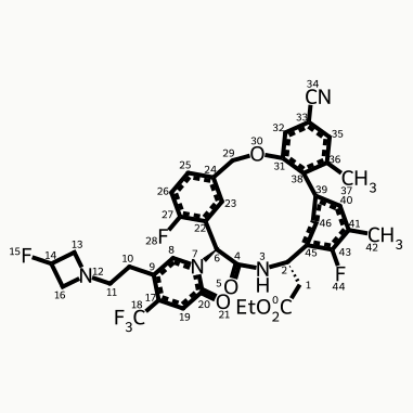 CCOC(=O)C[C@@H]1NC(=O)[C@@H](n2cc(CCN3CC(F)C3)c(C(F)(F)F)cc2=O)c2cc(ccc2F)COc2cc(C#N)cc(C)c2-c2cc(C)c(F)c1c2